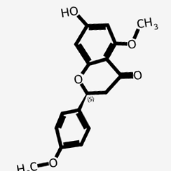 COc1ccc([C@@H]2CC(=O)c3c(OC)cc(O)cc3O2)cc1